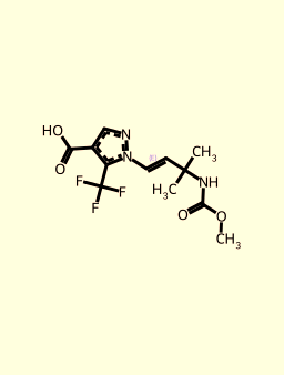 COC(=O)NC(C)(C)/C=C/n1ncc(C(=O)O)c1C(F)(F)F